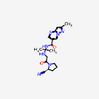 Cc1cc2ncc(C(=O)NC(C)(C)NCC(=O)N3CCC[C@H]3C#N)cn2n1